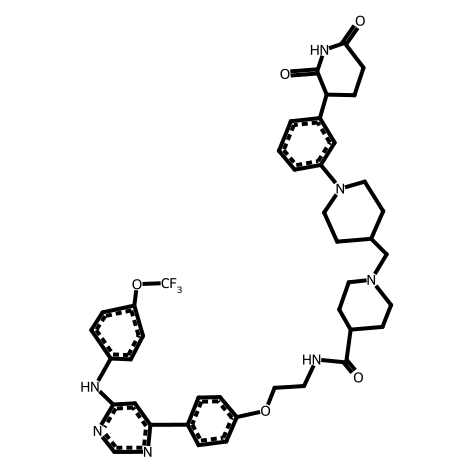 O=C1CCC(c2cccc(N3CCC(CN4CCC(C(=O)NCCOc5ccc(-c6cc(Nc7ccc(OC(F)(F)F)cc7)ncn6)cc5)CC4)CC3)c2)C(=O)N1